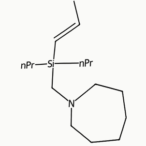 CC=C[Si](CCC)(CCC)CN1CCCCCC1